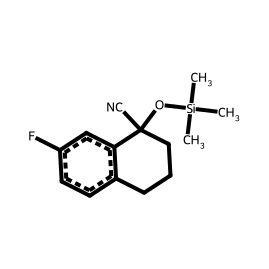 C[Si](C)(C)OC1(C#N)CCCc2ccc(F)cc21